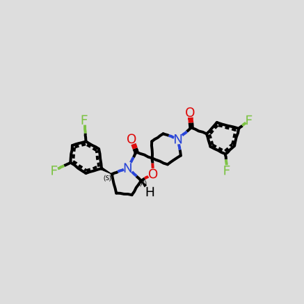 O=C(c1cc(F)cc(F)c1)N1CCC2(CC1)O[C@@H]1CC[C@@H](c3cc(F)cc(F)c3)N1C2=O